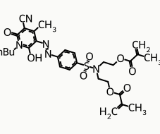 C=C(C)C(=O)OCCN(CCOC(=O)C(=C)C)S(=O)(=O)c1ccc(/N=N/c2c(C)c(C#N)c(=O)n(CCCC)c2O)cc1